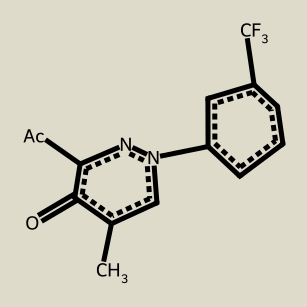 CC(=O)c1nn(-c2cccc(C(F)(F)F)c2)cc(C)c1=O